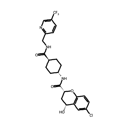 O=C(N[C@H]1CC[C@H](C(=O)NCc2ccc(C(F)(F)F)cn2)CC1)[C@H]1C[C@@H](O)c2cc(Cl)ccc2O1